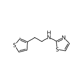 [c]1sccc1CCNc1nccs1